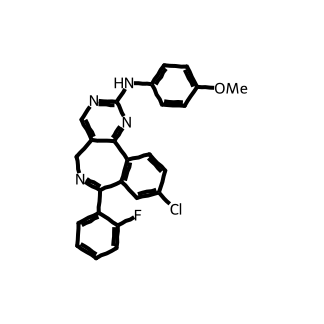 COc1ccc(Nc2ncc3c(n2)-c2ccc(Cl)cc2C(c2ccccc2F)=NC3)cc1